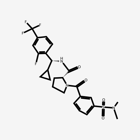 CN(C)S(=O)(=O)c1cccc(C(=O)N2CCC[C@@H]2C(=O)N[C@@H](c2ccc(C(F)(F)F)cc2F)C2CC2)c1